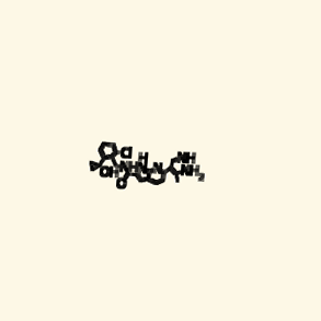 C/C(N)=C(/C=N)c1ccc2cc(C(=O)NCc3c(Cl)cccc3C3(O)CC3)[nH]c2n1